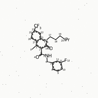 Cc1c(C(=O)NCc2cccc(F)c2)c(=O)n(CCCC(C)C)c2cc(C(F)(F)F)ccc12